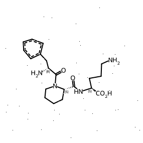 NCCC[C@H](NC(=O)[C@@H]1CCCCN1C(=O)[C@H](N)Cc1ccccc1)C(=O)O